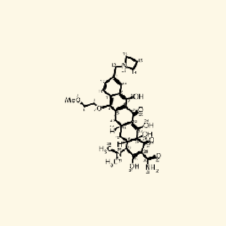 COCCOc1c2c(c(O)c3cc(CN4CCC4)ccc13)C(=O)C1=C(O)[C@]3(O)C(=O)C(C(N)=O)=C(O)[C@@H](N(C)C)[C@@H]3C[C@@H]1C2